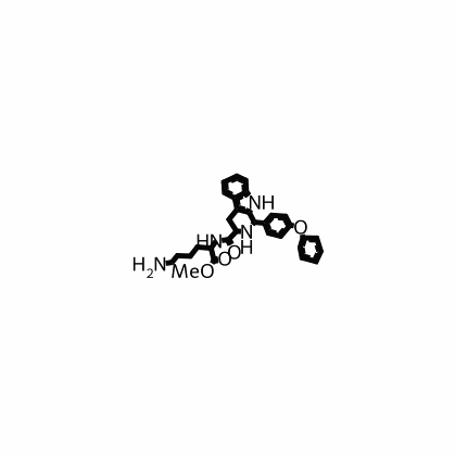 COC(=O)C(CCCCN)NC(=O)C1Cc2c([nH]c3ccccc23)C(c2ccc(Oc3ccccc3)cc2)N1